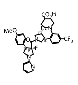 CC[C@H]1CN(C(=O)[C@]2(F)CN(c3ccccn3)C[C@H]2c2ccc(OC)cc2)C[C@@H]1c1ccc(C(F)(F)F)cc1N1CCC(C(=O)O)CC1